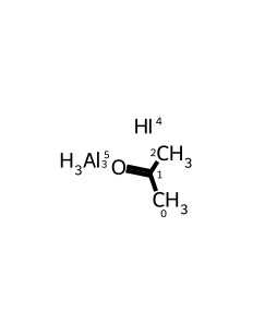 CC(C)=O.I.[AlH3]